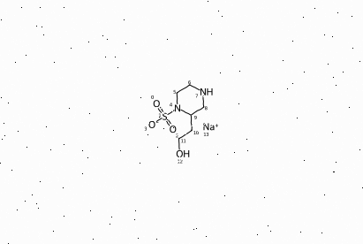 O=S(=O)([O-])N1CCNCC1CCO.[Na+]